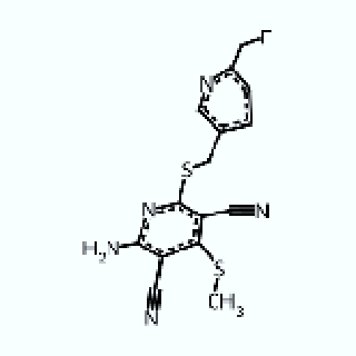 CSc1c(C#N)c(N)nc(SCc2ccc(CF)nc2)c1C#N